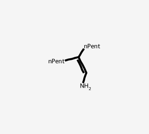 CCCCCC(=CN)CCCCC